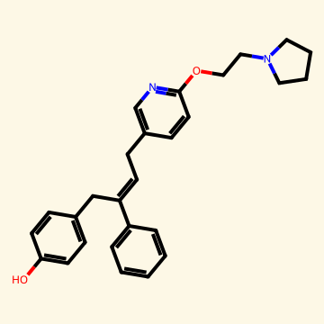 Oc1ccc(C/C(=C\Cc2ccc(OCCN3CCCC3)nc2)c2ccccc2)cc1